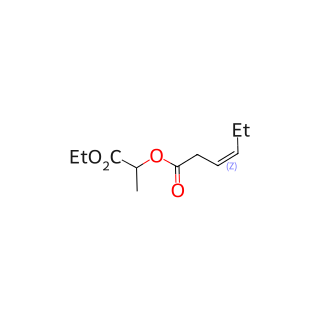 CC/C=C\CC(=O)OC(C)C(=O)OCC